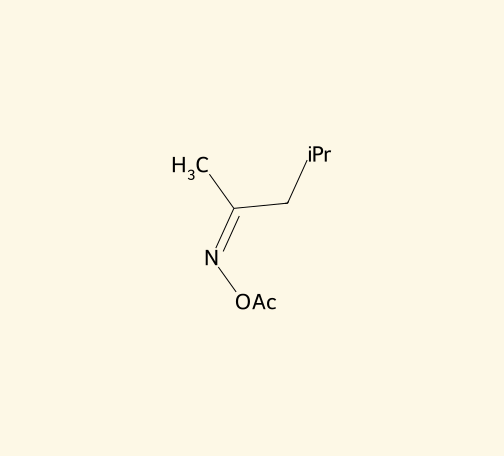 CC(=O)ON=C(C)CC(C)C